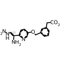 NN/C=C(\N)c1ccc(OCc2cccc(CC(=O)O)c2)cn1